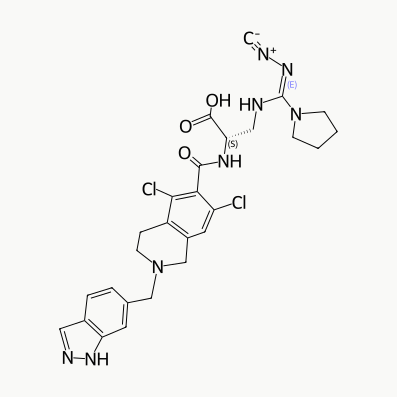 [C-]#[N+]/N=C(\NC[C@H](NC(=O)c1c(Cl)cc2c(c1Cl)CCN(Cc1ccc3cn[nH]c3c1)C2)C(=O)O)N1CCCC1